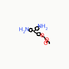 C=CC(=O)OCCCOc1ccc(CC(c2ccc(N)cc2)c2ccc(N)cc2)cc1